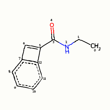 CCNC(=O)C1=Cc2ccccc21